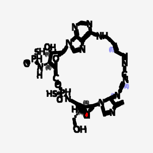 C=c1ncn2/c1=N/C=N\CNC/C=C/CNc1ncnc3c1ncn3C1OC(CO[P@](=O)(S)NC3[C@@H](O)C2O[C@@H]3CO)[C@H](N[PH](=O)S)[C@H]1O